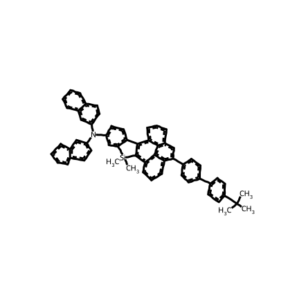 CC(C)(C)c1ccc(-c2ccc(-c3cc4cccc5c6c(c7cccc3c7c45)[Si](C)(C)c3cc(N(c4ccc5ccccc5c4)c4ccc5ccccc5c4)ccc3-6)cc2)cc1